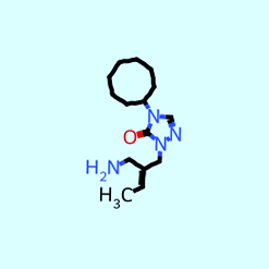 C/C=C(\CN)Cn1ncn(C2CCCCCCC2)c1=O